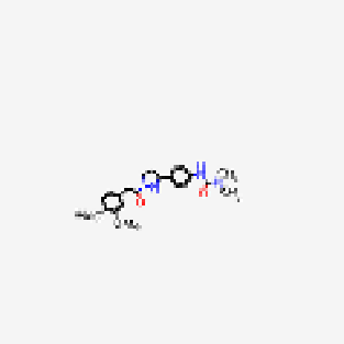 COc1ccc(CC(=O)N2CCC(c3ccc(NC(=O)N(C)C)cc3)=N2)cc1OC